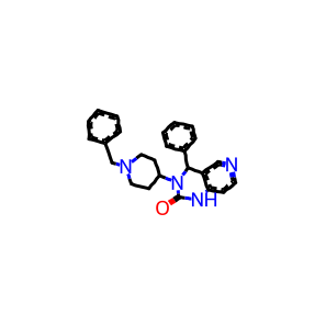 O=C1Nc2ccncc2C(c2ccccc2)N1C1CCN(Cc2ccccc2)CC1